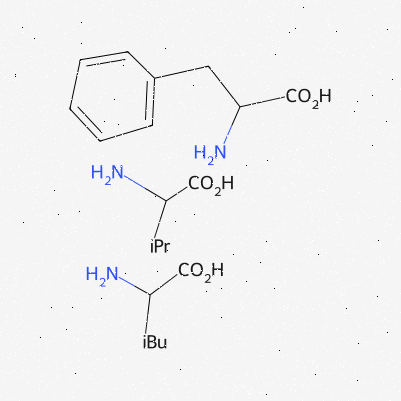 CC(C)C(N)C(=O)O.CCC(C)C(N)C(=O)O.NC(Cc1ccccc1)C(=O)O